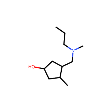 CCCN(C)CC1CC(O)CC1C